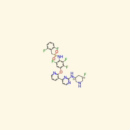 O=S(=O)(Cc1c(F)cccc1F)Nc1c(F)cc(Oc2ncccc2-c2ccnc(N[C@@H]3CNC[C@@H](F)C3)n2)c(F)c1F